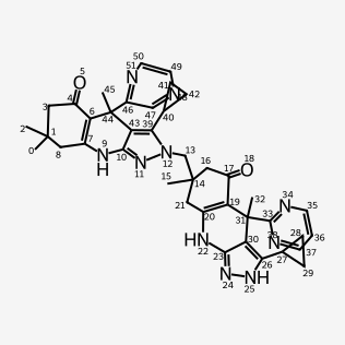 CC1(C)CC(=O)C2=C(C1)Nc1nn(CC3(C)CC(=O)C4=C(C3)Nc3n[nH]c(C5CC5)c3C4(C)c3ncccn3)c(C3CC3)c1C2(C)c1cnccn1